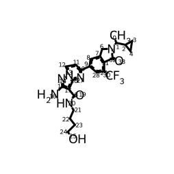 CC(C1CC1)N1Cc2cc(-c3ccn4nc(N)c(C(=O)NCCCCO)c4n3)cc(C(F)(F)F)c2C1=O